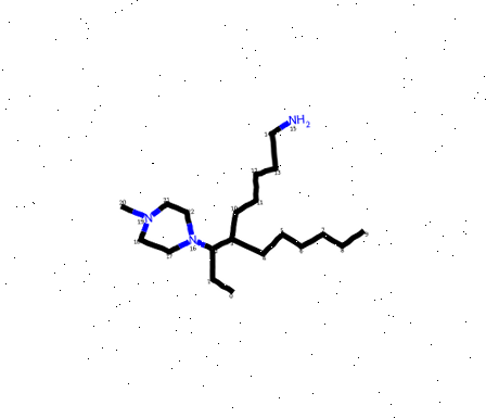 C[CH]C(C(CCCCCC)CCCCCN)N1CCN(C)CC1